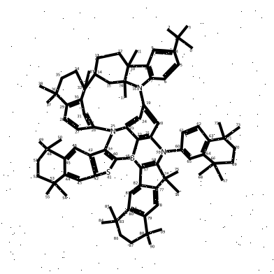 CC(C)(C)c1ccc2c(c1)C1(C)CCC3CC1(C)N2c1cc2c4c(c1)N(c1ccc5c(c1)C3(C)CCC5(C)C)c1c(sc3cc5c(cc13)C(C)(C)CCC5(C)C)B4C1=C(N2c2ccc3c(c2)C(C)(C)CCC3(C)C)C(C)(C)c2cc3c(cc21)C(C)(C)CCC3(C)C